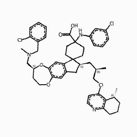 C[C@@H](COc1ccnc2c1[C@H](C)CCC2)C[C@H]1Cc2cc3c(cc2C12CCC(Nc1cccc(Cl)c1)(C(=O)O)CC2)O[C@H](CN(C)Cc1ccccc1Cl)CCO3